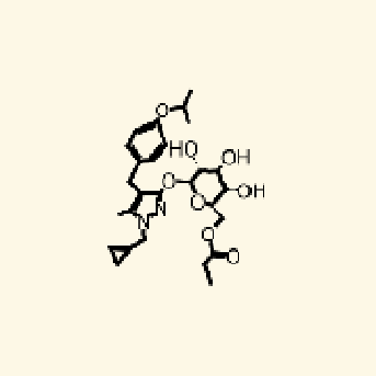 CCC(=O)OC[C@H]1O[C@@H](Oc2nn(CC3CC3)c(C)c2Cc2ccc(OC(C)C)cc2)[C@H](O)[C@@H](O)[C@@H]1O